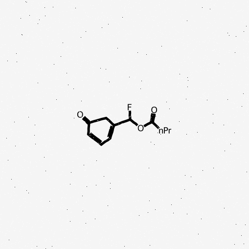 CCCC(=O)OC(F)C1=CC=CC(=O)C1